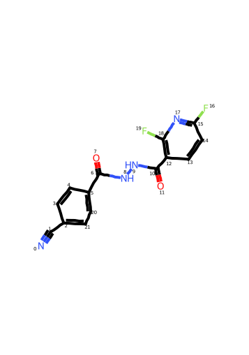 N#Cc1ccc(C(=O)NNC(=O)c2ccc(F)nc2F)cc1